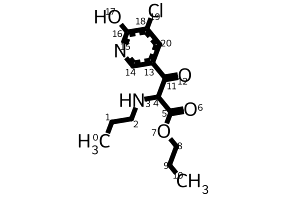 CCCNC(C(=O)OCCC)C(=O)c1cnc(O)c(Cl)c1